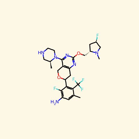 Cc1cc(N)c(F)c(C2Cc3nc(OC[C@@H]4C[C@@H](F)CN4C)nc(N4CCNC[C@@H]4C)c3CO2)c1C(F)(F)F